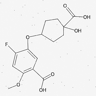 COc1cc(F)c(OC2CCC(O)(C(=O)O)CC2)cc1C(=O)O